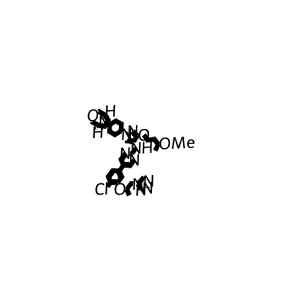 COC(C)CCOc1nn(C2CCC(N3[C@@H]4CC[C@H]3COC4)CC2)cc1Nc1ncc(-c2ccc(Cl)c(OC(C)Cn3cnnn3)c2)cn1